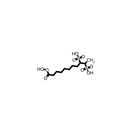 CC(C(CCCCCCCC(=O)OO)S(=O)(=O)O)S(=O)(=O)O